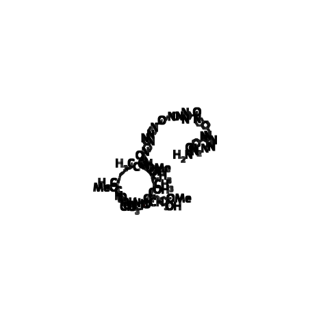 CO[C@H]1C[C@@H]2CC[C@@H](C)[C@@](O)(O2)C(=O)C(=O)N2CCCC[C@H]2C(=O)O[C@H]([C@H](C)C[C@@H]2CC[C@@H](O)[C@H](OC)C2)C[C@@H](O)[C@H](C)/C=C(\C)[C@@H](O)[C@@H](OC)/C(=N/OCC(=O)N2CCc3nc(N4CCN(CCOCCN5CCN(c6ncc(C(=O)N7CCc8cc(Cn9nc(-c%10ccc%11oc(N)nc%11c%10)c%10c(N)ncnc%109)ccc8C7)cn6)CC5)CC4)ncc3C2)[C@H](C)C[C@H](C)/C=C/C=C/C=C/1C